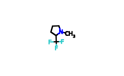 CN1CCCC1C(F)(F)F